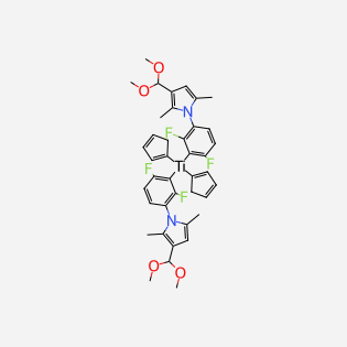 COC(OC)c1cc(C)n(-c2ccc(F)[c]([Ti]([C]3=CC=CC3)([C]3=CC=CC3)[c]3c(F)ccc(-n4c(C)cc(C(OC)OC)c4C)c3F)c2F)c1C